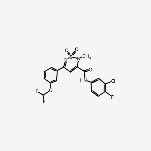 CN1C(C(=O)Nc2ccc(F)c(Cl)c2)=CC(c2cccc(OC(F)F)c2)=NS1(=O)=O